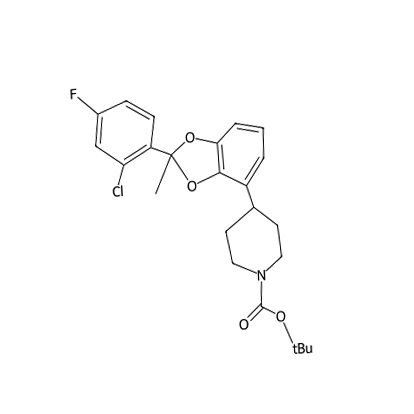 CC(C)(C)OC(=O)N1CCC(c2cccc3c2OC(C)(c2ccc(F)cc2Cl)O3)CC1